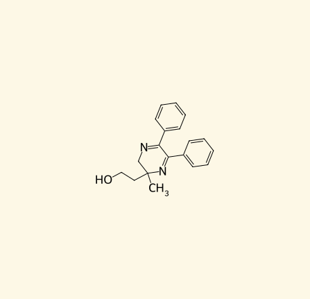 CC1(CCO)CN=C(c2ccccc2)C(c2ccccc2)=N1